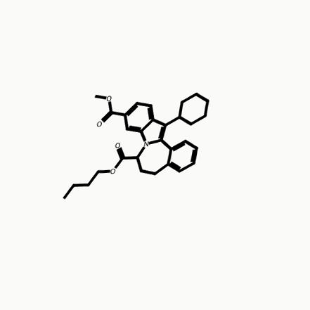 CCCCOC(=O)C1CCc2ccccc2-c2c(C3CCCCC3)c3ccc(C(=O)OC)cc3n21